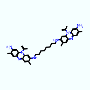 C=C(C)N1c2cc(N)c(C)cc2N=C2C=C(C)C(NCCCCCCCCNc3cc4c(cc3C)nc3cc(C)c(N)cc3[n+]4C(=C)C)=CC21